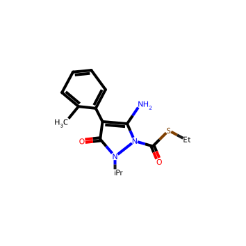 CCSC(=O)n1c(N)c(-c2ccccc2C)c(=O)n1C(C)C